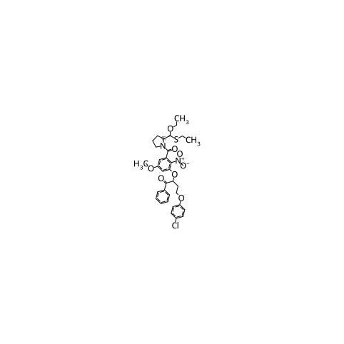 CCOC(SCC)[C@@H]1CCCN1C(=O)c1cc(OC)cc(OC(CCOc2ccc(Cl)cc2)C(=O)c2ccccc2)c1[N+](=O)[O-]